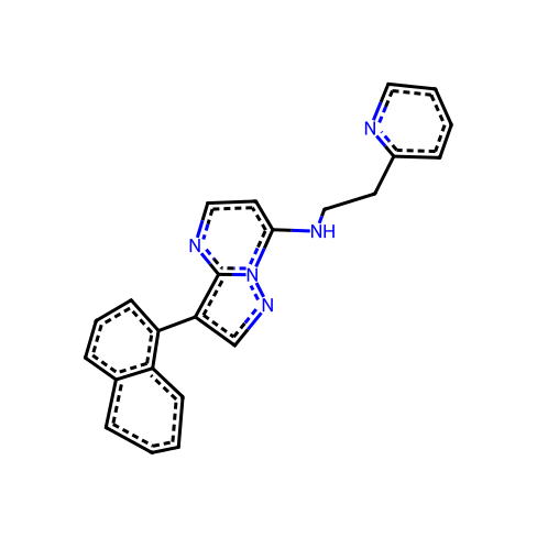 c1ccc(CCNc2ccnc3c(-c4cccc5ccccc45)cnn23)nc1